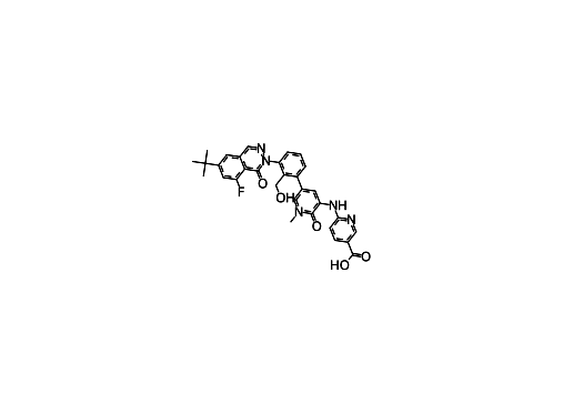 Cn1cc(-c2cccc(-n3ncc4cc(C(C)(C)C)cc(F)c4c3=O)c2CO)cc(Nc2ccc(C(=O)O)cn2)c1=O